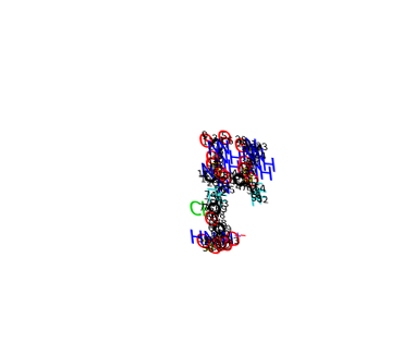 COc1cc(OC)nc(NC(=O)NS(=O)(=O)c2ncccc2C(=O)N(C)C)n1.COc1nc(C)nc(NC(=O)NS(=O)(=O)c2ccccc2CCC(F)(F)F)n1.CS(=O)(=O)NC(=O)c1cc(Oc2ccc(C(F)(F)F)cc2Cl)ccc1[N+](=O)[O-]